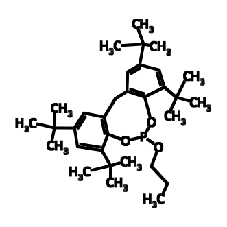 CCCOP1Oc2c(cc(C(C)(C)C)cc2C(C)(C)C)Cc2cc(C(C)(C)C)cc(C(C)(C)C)c2O1